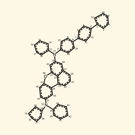 c1ccc(-c2ccc(-c3ccc(N(c4ccccc4)c4cc5c6c(cccc6c4)-c4cc(N(c6ccccc6)c6ccccc6)ccc4O5)cc3)cc2)cc1